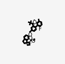 COC(=O)[C@H]1CC[C@]12CCc1ccc(OCc3ccc(-c4cc(C)ccc4F)c([C@@H](OC)C(C)(C)C)c3)cc12